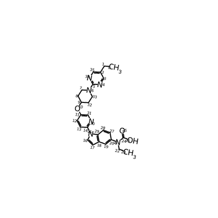 CCc1cnc(N2CCC(Oc3ccc(-n4ccc5cc(N(CC)C(=O)O)ccc54)nc3)CC2)nc1